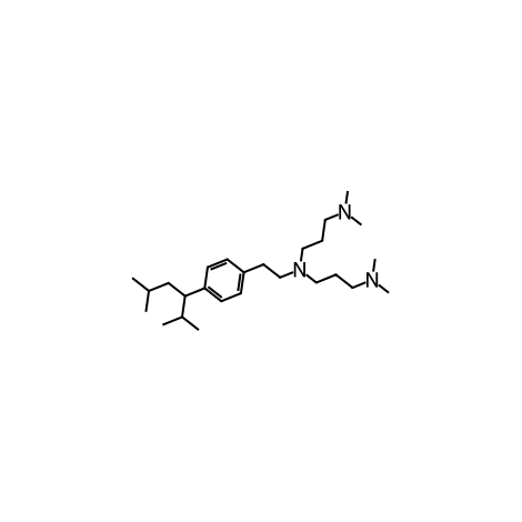 CC(C)CC(c1ccc(CCN(CCCN(C)C)CCCN(C)C)cc1)C(C)C